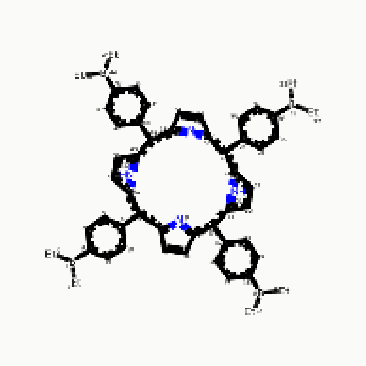 CCB(CC)c1ccc(-c2c3nc(c(-c4ccc(B(CC)CC)cc4)c4ccc([nH]4)c(-c4ccc(B(CC)CC)cc4)c4nc(c(-c5ccc(B(CC)CC)cc5)c5ccc2[nH]5)C=C4)C=C3)cc1